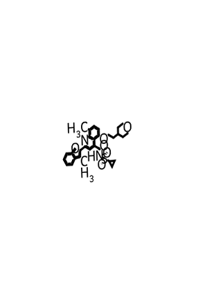 Cc1c(-c2cc(C(=O)NS(=O)(=O)C3CC3)c3c(OCCC4CCOCC4)ccc(C)c3n2)oc2ccccc12